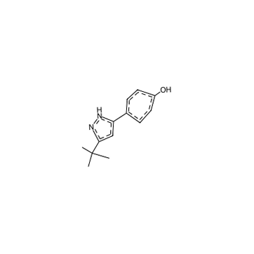 CC(C)(C)c1cc(-c2ccc(O)cc2)[nH]n1